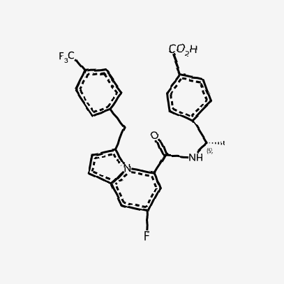 C[C@H](NC(=O)c1cc(F)cc2ccc(Cc3ccc(C(F)(F)F)cc3)n12)c1ccc(C(=O)O)cc1